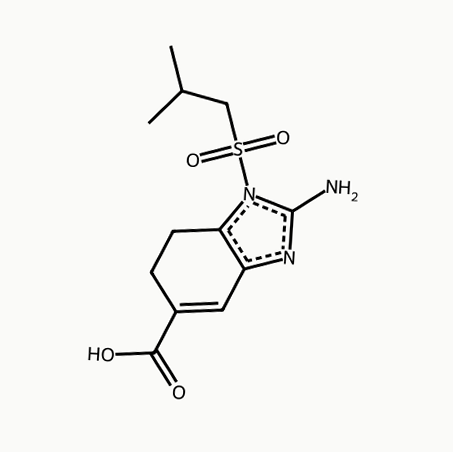 CC(C)CS(=O)(=O)n1c(N)nc2c1CCC(C(=O)O)=C2